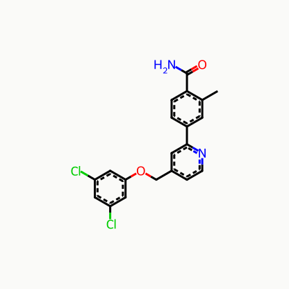 Cc1cc(-c2cc(COc3cc(Cl)cc(Cl)c3)ccn2)ccc1C(N)=O